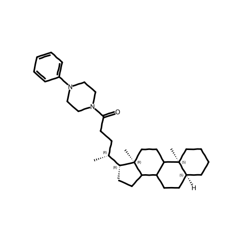 C[C@H](CCC(=O)N1CCN(c2ccccc2)CC1)[C@H]1CCC2C3CC[C@@H]4CCCC[C@]4(C)C3CC[C@@]21C